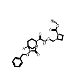 CC(C)(C)OC(=O)N1CC[C@H]1CONC(=O)[C@@H]1CC[C@@H]2CN1C(=O)N2OCc1ccccc1